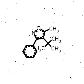 Cc1onc(-c2ccccc2)c1C(C)(C)C